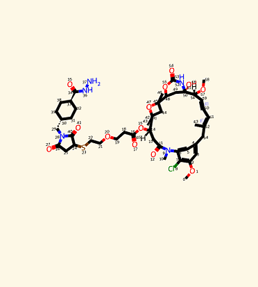 COc1cc2cc(c1Cl)N(C)C(=O)C[C@H](OC(=O)CCOCCSC1CC(=O)N(C[C@H]3CC[C@H](C(=O)NN)CC3)C1=O)[C@@]1(C)CC(C)(O1)C1C[C@@](O)(NC(=O)O1)[C@H](OC)/C=C/C=C(\C)C2